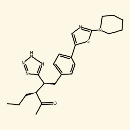 CCC[C@H](C(C)=O)[C@H](Cc1ccc(-c2cnc(N3CCCCC3)s2)cc1)c1nn[nH]n1